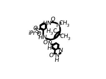 Cc1cc2cc(C)c1CN(C)CC(=O)Nc1ccc(S(=O)(=O)C(C)C)c(c1)CNC(=O)C2Nc1ccc2nc[nH]c(=O)c2c1